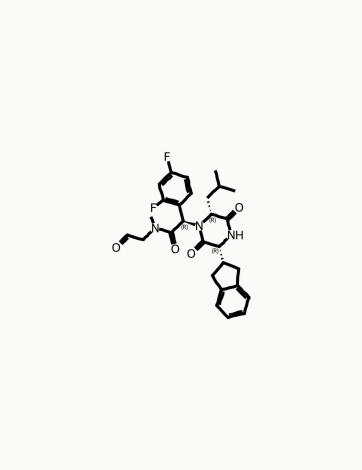 CC(C)C[C@@H]1C(=O)N[C@H](C2Cc3ccccc3C2)C(=O)N1[C@@H](C(=O)N(C)CC=O)c1ccc(F)cc1F